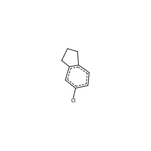 Clc1ccc2c(c1)CCC2